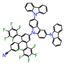 N#Cc1ccc(-c2c(-c3c(F)c(F)c(F)c(F)c3F)cc(-n3c4ccc(-n5c6ccccc6c6ccccc65)cc4c4cc(-n5c6ccccc6c6ccccc65)ccc43)cc2-c2c(F)c(F)c(F)c(F)c2F)cc1